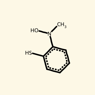 CN(O)c1ccccc1S